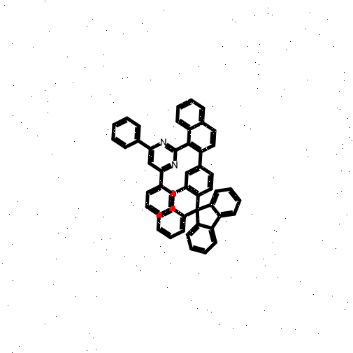 c1ccc(-c2cc(-c3ccccc3)nc(-c3c(-c4ccc5c(c4)Oc4ccccc4C54c5ccccc5-c5ccccc54)ccc4ccccc34)n2)cc1